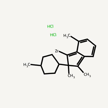 CC1=c2cccc(C)c2=[C]([Zr])C1(C)C1CCC(C)CC1.Cl.Cl